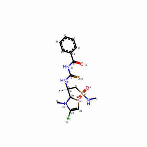 CNS(=O)(=O)C[C@](C)(NC(=S)NC(=O)c1ccccc1)C1SC=C(Br)N1C